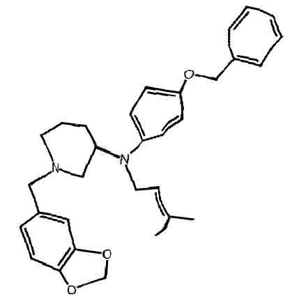 CC(C)=CCN(c1ccc(OCc2ccccc2)cc1)C1CCCN(Cc2ccc3c(c2)OCO3)C1